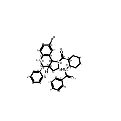 O=C(N[C@@H]1CCCC[C@@H]1C(=O)N1CC[C@H]2C1c1cc(F)ccc1N[C@H]2c1ccccc1)c1ccccc1